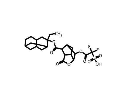 CCC1(OC(=O)C2C3CC4C(OC(=O)C42)C3OC(=O)C(F)(F)S(=O)(=O)O)CC2CCC3CC2CC1C3